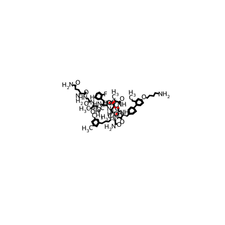 CCc1cc(OCCCCN)ccc1-c1ccc(C[C@H](NC(=O)[C@H](CC(=O)O)NC(=O)[C@H](C)NC(=O)[C@@H](NC(=O)[C@](C)(Cc2ccccc2F)NC(=O)[C@@H](NC(=O)CNC(=O)[C@@H](N)CCC(N)=O)[C@@H](C)O)[C@@H](C)O)C(=O)N[C@@H](CCCCc2cc(C)cc(C)c2)C(N)=O)cc1